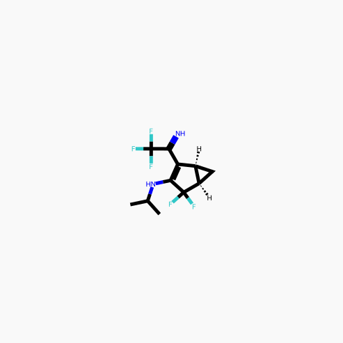 CC(C)NC1=C(C(=N)C(F)(F)F)[C@H]2C[C@H]2C1(F)F